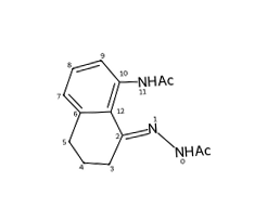 CC(=O)N/N=C1\CCCc2cccc(NC(C)=O)c21